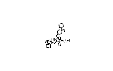 COC(=O)C(Cc1c[nH]c2ccccc12)NC(=O)C=C1CCC(c2ccccc2)(N(C)C)CC1.Cl